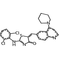 O=C1N=C(Nc2c(Cl)cccc2Cl)S/C1=C/c1ccc2nccc(N3CCCCC3)c2c1